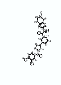 COc1ccc(C(=O)N2CCC(c3cccc(C(=O)Nc4nc5c(s4)CN(C)CC5)c3)C2)cc1Cl